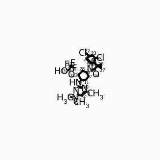 Cc1cc(N(C)C)nc(N[C@H]2CC[C@@H](NC(=O)C3(c4ccc(Cl)cc4Cl)CC3)CC2)n1.O=C(O)C(F)(F)F